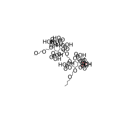 CCCCOCCO[C@H]1[C@H](OP(=O)(O)O)[C@@H](OCCOC2(CO[C@H]3[C@H](OP(=O)(O)O)[C@@H](OCCOCCOC)[C@H](OP(=O)(O)O)[C@@H](OP(=O)(O)O)[C@@H]3OP(=O)(O)O)CC2)[C@H](OP(=O)(O)O)[C@H](OP(=O)(O)O)[C@@H]1OP(=O)(O)O